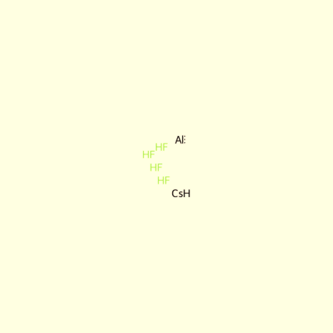 F.F.F.F.[Al].[CsH]